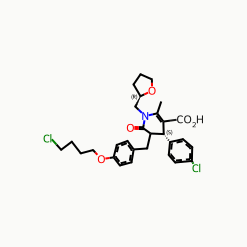 CC1=C(C(=O)O)[C@H](c2ccc(Cl)cc2)C(Cc2ccc(OCCCCCl)cc2)C(=O)N1C[C@H]1CCCO1